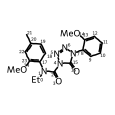 CCN(C(=O)n1nnn(-c2ccccc2OC)c1=O)c1ccc(C)cc1OC